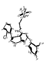 NS(=O)(=O)NCCNc1nc(Oc2ccc(F)cc2F)nc2[nH]nc(-c3ccccc3Cl)c12